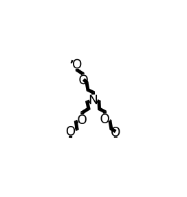 COCCOCCCN(CCCOCCOC)CCCOCCOC